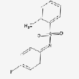 Cc1ccccc1S(=O)(=O)N=C1C=CC(I)=CC1